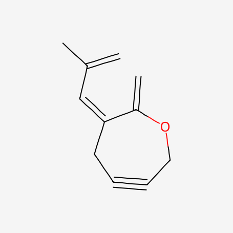 C=C(C)/C=C1/CC#CCOC1=C